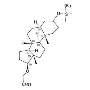 CC(C)(C)[Si](C)(C)OC1CC[C@@]2(C)[C@@H](CC[C@@H]3[C@@H]2CC[C@]2(C)[C@@H](OCC=O)CC[C@@H]32)C1